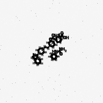 CC1(C(=O)O)C=CCC(C(=O)O)([C@H]2CC[C@H](CCN3CCN(c4nsc5ccccc45)CC3)CC2)C1.NC(=O)Nc1ccccc1